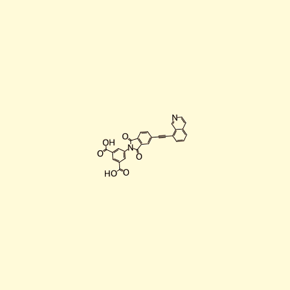 O=C(O)c1cc(C(=O)O)cc(N2C(=O)c3ccc(C#Cc4cccc5ccncc45)cc3C2=O)c1